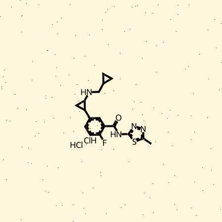 Cc1nnc(NC(=O)c2cc(C3CC3NCC3CC3)ccc2F)s1.Cl.Cl